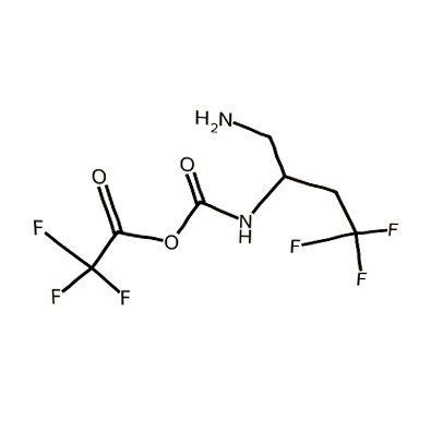 NCC(CC(F)(F)F)NC(=O)OC(=O)C(F)(F)F